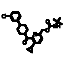 CC(C)(C)NC(=O)OCc1ccc(C2CC2)c(C(=O)C2CCC(c3cccc(Cl)c3)CC2)n1